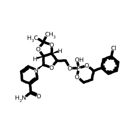 CC1(C)O[C@@H]2[C@H](O1)C(CO[P]1(O)OCCC(c3cccc(Cl)c3)O1)O[C@H]2N1C=CCC(C(N)=O)=C1